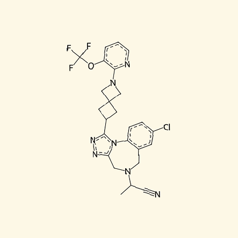 CC(C#N)N1Cc2cc(Cl)ccc2-n2c(nnc2C2CC3(C2)CN(c2ncccc2OC(F)(F)F)C3)C1